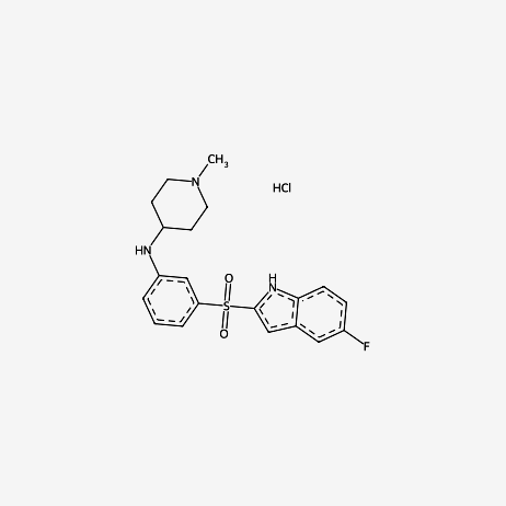 CN1CCC(Nc2cccc(S(=O)(=O)c3cc4cc(F)ccc4[nH]3)c2)CC1.Cl